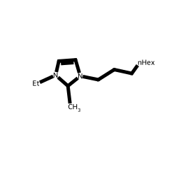 CCCCCCCCCN1C=CN(CC)C1C